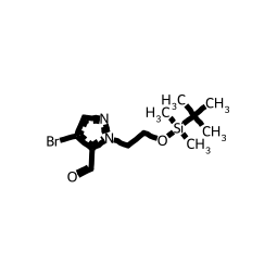 CC(C)(C)[Si](C)(C)OCCn1ncc(Br)c1C=O